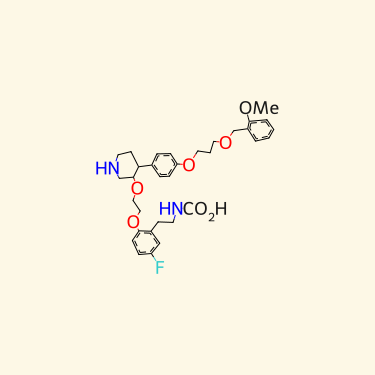 COc1ccccc1COCCCOc1ccc(C2CCNCC2OCCOc2ccc(F)cc2CCNC(=O)O)cc1